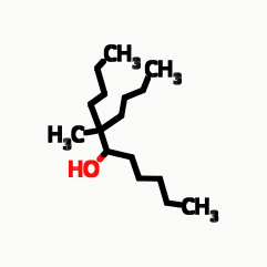 CCCCCC(O)C(C)(CCCC)CCCC